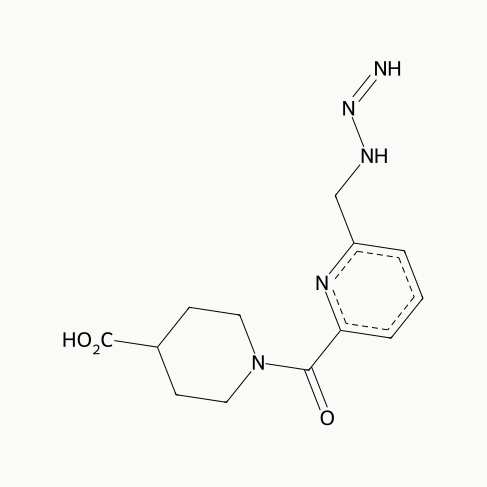 N=NNCc1cccc(C(=O)N2CCC(C(=O)O)CC2)n1